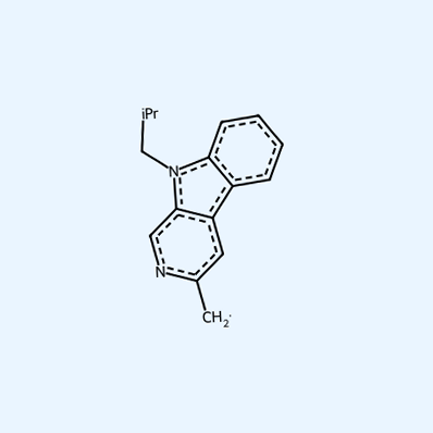 [CH2]c1cc2c3ccccc3n(CC(C)C)c2cn1